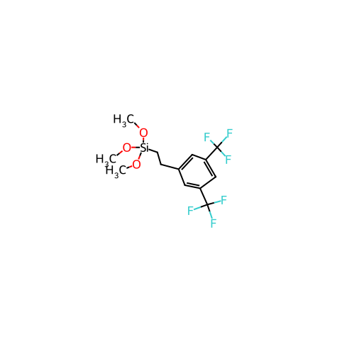 CO[Si](CCc1cc(C(F)(F)F)cc(C(F)(F)F)c1)(OC)OC